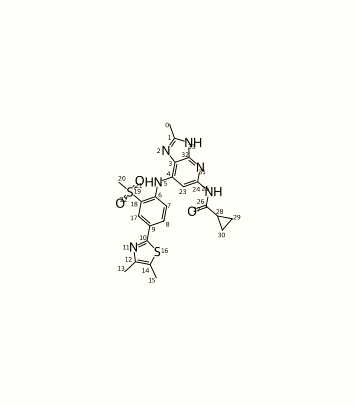 Cc1nc2c(Nc3ccc(-c4nc(C)c(C)s4)cc3S(C)(=O)=O)cc(NC(=O)C3CC3)nc2[nH]1